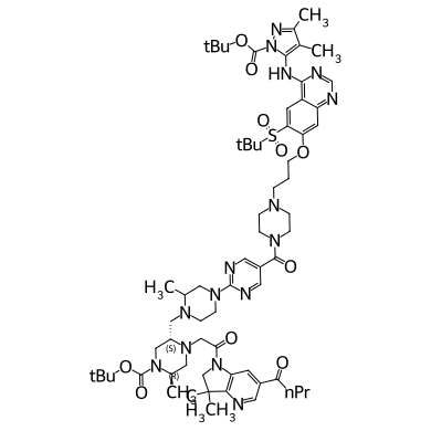 CCCC(=O)c1cnc2c(c1)N(C(=O)CN1C[C@@H](C)N(C(=O)OC(C)(C)C)C[C@@H]1CN1CCN(c3ncc(C(=O)N4CCN(CCCOc5cc6ncnc(Nc7c(C)c(C)nn7C(=O)OC(C)(C)C)c6cc5S(=O)(=O)C(C)(C)C)CC4)cn3)CC1C)CC2(C)C